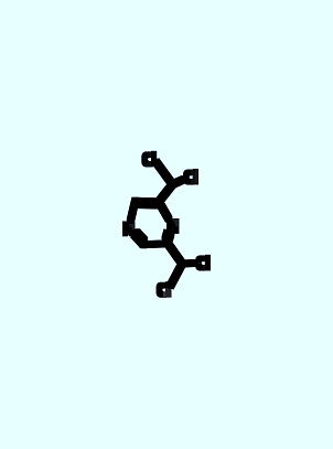 ClC(Cl)c1cncc(C(Cl)Cl)n1